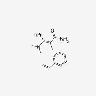 C=Cc1ccccc1.CCC/C(=C(/C)C(N)=O)N(C)C